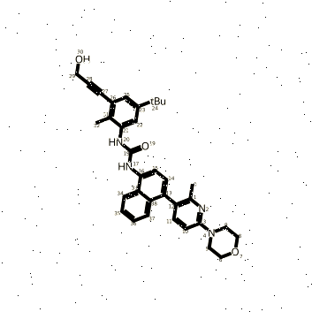 Cc1nc(N2CCOCC2)ccc1-c1ccc(NC(=O)Nc2cc(C(C)(C)C)cc(C#CCO)c2C)c2ccccc12